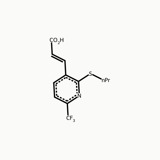 CCCSc1nc(C(F)(F)F)ccc1C=CC(=O)O